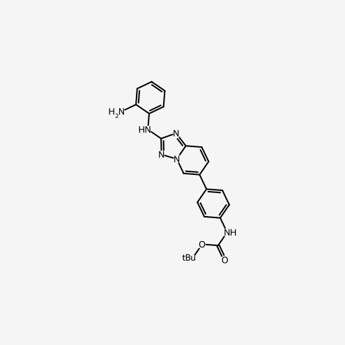 CC(C)(C)OC(=O)Nc1ccc(-c2ccc3nc(Nc4ccccc4N)nn3c2)cc1